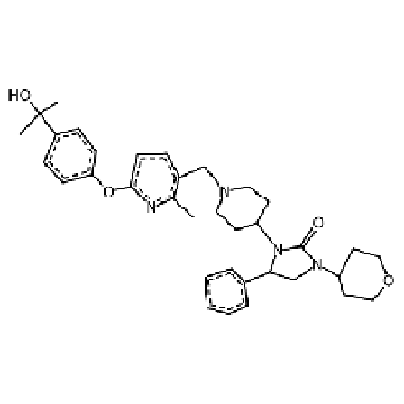 Cc1nc(Oc2ccc(C(C)(C)O)cc2)ccc1CN1CCC(N2C(=O)N(C3CCOCC3)CC2c2ccccc2)CC1